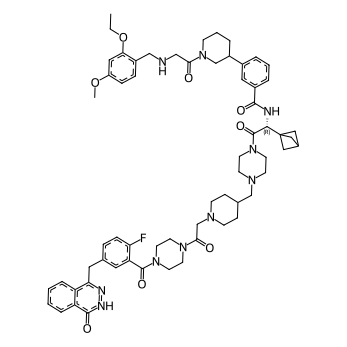 CCOc1cc(OC)ccc1CNCC(=O)N1CCCC(c2cccc(C(=O)N[C@@H](C(=O)N3CCN(CC4CCN(CC(=O)N5CCN(C(=O)c6cc(Cc7n[nH]c(=O)c8ccccc78)ccc6F)CC5)CC4)CC3)C34CC(C3)C4)c2)C1